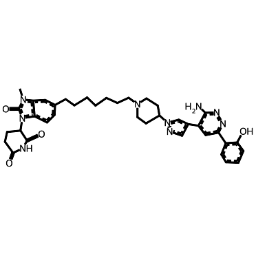 Cn1c(=O)n(C2CCC(=O)NC2=O)c2ccc(CCCCCCCN3CCC(n4cc(-c5cc(-c6ccccc6O)nnc5N)cn4)CC3)cc21